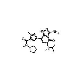 CC(C)[C@H](C)n1cc(-c2cc(C(=O)N(C)C3CCCC3)n(C)n2)c2[nH]nc(N)c2c1=O